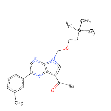 CC(C)(C)C(=O)c1cn(COCC[Si](C)(C)C)c2ncc(-c3cccc(C=O)c3)nc12